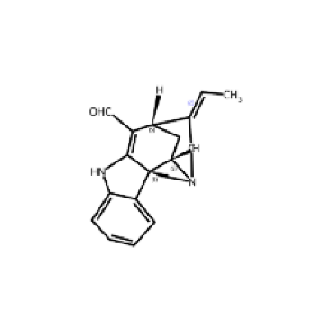 C/C=C1\CN2CC[C@@]34C(=C(C=O)[C@H]1C[C@H]23)Nc1ccccc14